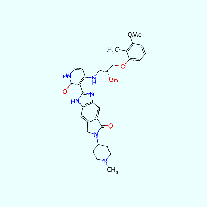 COc1cccc(OC[C@H](O)CNc2cc[nH]c(=O)c2-c2nc3cc4c(cc3[nH]2)CN(C2CCN(C)CC2)C4=O)c1C